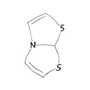 C1=CN2C=CSC2S1